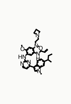 C=CC(=O)Nc1cc(Nc2nccc(-c3cn(C)c4cc(C(C)CC)ccc34)n2)c(OC)cc1N(C)CCN1CCC1